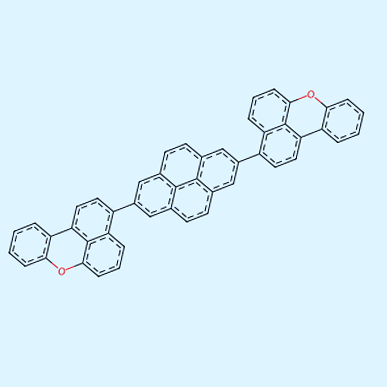 c1ccc2c(c1)Oc1cccc3c(-c4cc5ccc6cc(-c7ccc8c9c(cccc79)Oc7ccccc7-8)cc7ccc(c4)c5c67)ccc-2c13